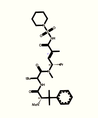 CN[C@H](C(=O)NC(C(=O)N(C)[C@H](/C=C(\C)C(=O)NS(=O)(=O)N1CCCCC1)C(C)C)C(C)(C)C)C(C)(C)c1ccccc1